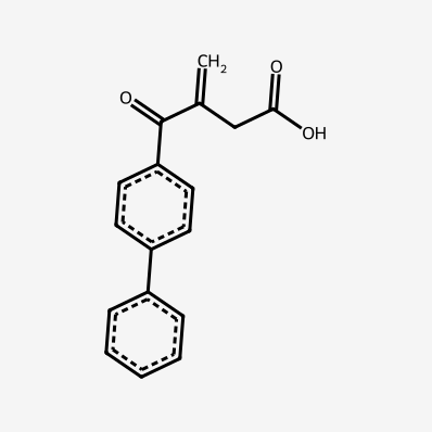 C=C(CC(=O)O)C(=O)c1ccc(-c2ccccc2)cc1